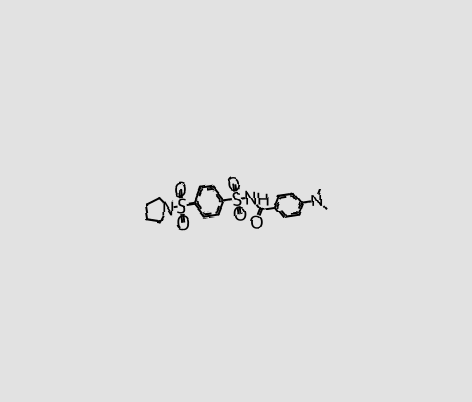 CN(C)c1ccc(C(=O)NS(=O)(=O)c2ccc(S(=O)(=O)N3CCCC3)cc2)cc1